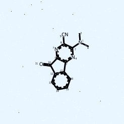 CN(C)c1nc2c(nc1C#N)C(=O)c1ccccc1-2